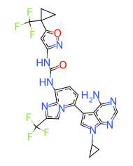 Nc1ncnc2c1c(-c1ccc(NC(=O)Nc3cc(C4(C(F)(F)F)CC4)on3)c3nc(C(F)(F)F)cn13)cn2C1CC1